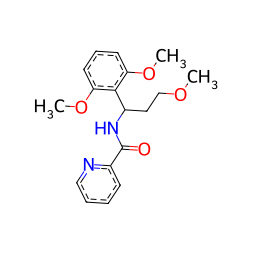 COCCC(NC(=O)c1ccccn1)c1c(OC)cccc1OC